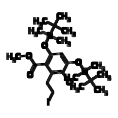 COC(=O)c1c(O[Si](C)(C)C(C)(C)C)cc(O[Si](C)(C)C(C)(C)C)c(Cl)c1CCI